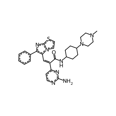 CN1CCN(C2CCC(NC(=O)/C(=C\c3c(-c4ccccc4)nc4sccn34)c3ccnc(N)n3)CC2)CC1